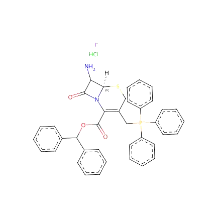 Cl.NC1C(=O)N2C(C(=O)OC(c3ccccc3)c3ccccc3)=C(C[P+](c3ccccc3)(c3ccccc3)c3ccccc3)CS[C@H]12.[I-]